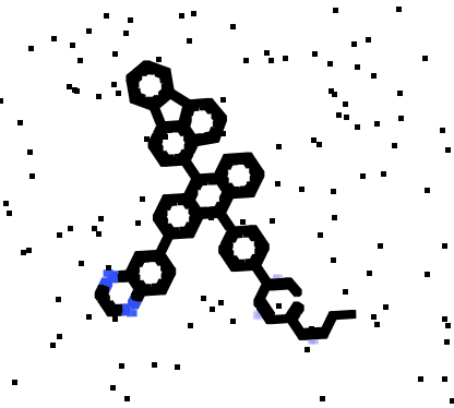 C=C(/C=C\CC)/C=C\C(=C/C)c1ccc(-c2c3ccccc3c(-c3ccc4c5c(cccc35)-c3ccccc3-4)c3ccc(-c4ccc5nccnc5c4)cc23)cc1